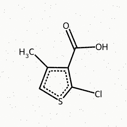 Cc1csc(Cl)c1C(=O)O